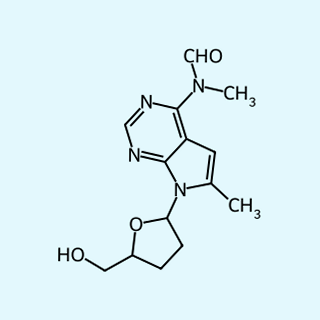 Cc1cc2c(N(C)C=O)ncnc2n1C1CCC(CO)O1